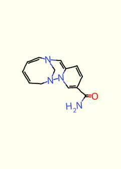 NC(=O)C1=CN2C(=CN3C=CC=CCN2C3)C=C1